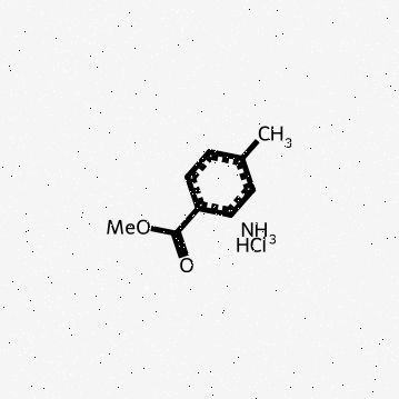 COC(=O)c1ccc(C)cc1.Cl.N